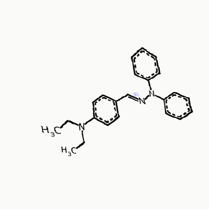 CCN(CC)c1ccc(/C=N/N(c2ccccc2)c2ccccc2)cc1